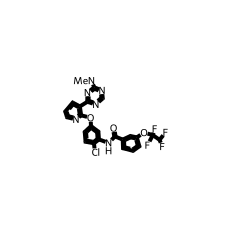 CNc1ncnc(-c2cccnc2Oc2ccc(Cl)c(NC(=O)c3cccc(OC(F)(F)C(F)F)c3)c2)n1